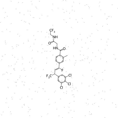 Cc1cc(C(F)=CC(c2cc(Cl)c(Cl)c(Cl)c2)C(F)(F)F)ccc1C(=O)NCC(=O)NCC(F)(F)F